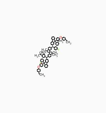 C=Cc1ccc(Oc2ccc(C3(c4ccccc4C)c4ccccc4-c4ccc([C@@H](c5ccc(F)cc5)c5ccc6c(c5)C5(CC(C)(C)c7ccc(C(c8ccc(C(=C)C)cc8)c8ccc9c(c8)C(c8ccc(Oc%10ccc(C=C)cc%10)cc8)(c8ccccc8F)c8ccccc8-9)cc75)CC6(C)C)cc43)cc2)cc1